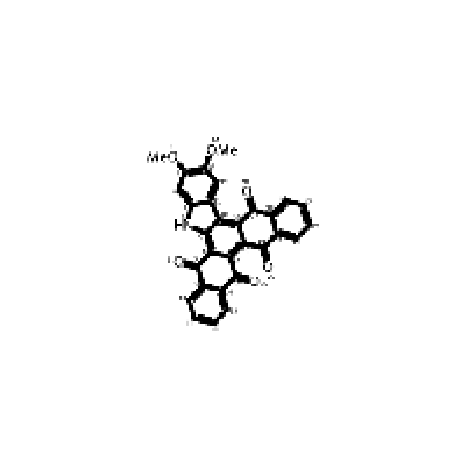 COc1cc2[nH]c3c4c(=O)c5ccccc5c(=O)c4c4c(=O)c5ccccc5c(=O)c4c3c2cc1OC